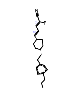 CCCc1ccc(CC[C@H]2CC[C@H](/C=C/C=C(\F)C#N)CC2)cc1